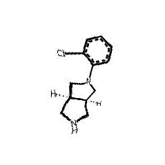 Clc1ccccc1N1C[C@H]2CNC[C@H]2C1